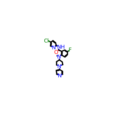 CN(c1ccc(F)cc1C(=O)Nc1ccc(Cl)cn1)C1CCN(c2ccncc2)CC1